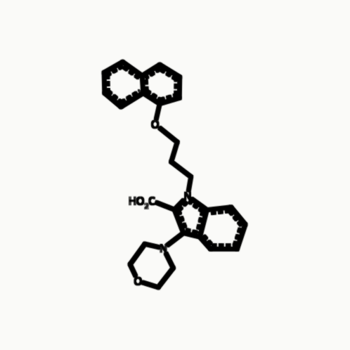 O=C(O)c1c(N2CCOCC2)c2ccccc2n1CCCOc1cccc2ccccc12